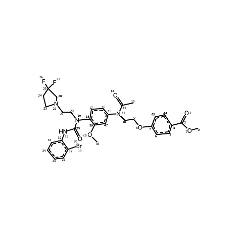 COC(=O)c1ccc(OCCN(C(C)=O)c2ccc(N(CCN3CCC(F)(F)C3)C(=O)Nc3ccccc3Br)c(OC)c2)cc1